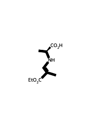 CCOC(=O)C(C)=CN[C@@H](C)C(=O)O